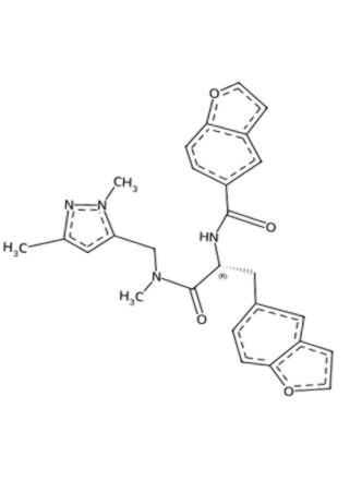 Cc1cc(CN(C)C(=O)[C@@H](Cc2ccc3occc3c2)NC(=O)c2ccc3occc3c2)n(C)n1